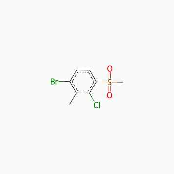 Cc1c(Br)ccc(S(C)(=O)=O)c1Cl